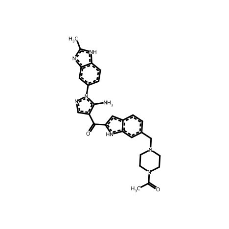 CC(=O)N1CCN(Cc2ccc3cc(C(=O)c4cnn(-c5ccc6[nH]c(C)nc6c5)c4N)[nH]c3c2)CC1